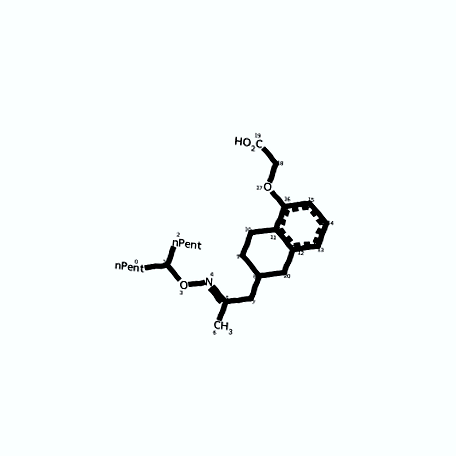 CCCCCC(CCCCC)ON=C(C)CC1CCc2c(cccc2OCC(=O)O)C1